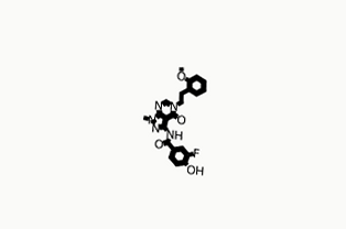 COc1ccccc1CCn1cnc2c(c(NC(=O)c3ccc(O)c(F)c3)nn2C)c1=O